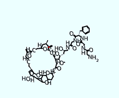 C=C1C[C@@H]2CC[C@@]34CO[C@@H]5C(C)C(O[C@H]6CC[C@H](CC(=O)C[C@@H]7[C@@H](OC)[C@@H](C[C@H](O)CNC(=O)CNC(=O)[C@H](Cc8ccccc8)NC(=O)CNC(=O)CN)O[C@H]7C[C@H]7O[C@@H](CC[C@@H]1O2)C[C@@H](C)C7=C)O[C@@H]65)[C@@H](O3)[C@H](O)C4